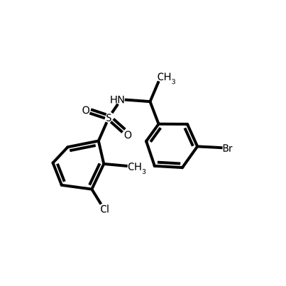 Cc1c(Cl)cccc1S(=O)(=O)NC(C)c1cccc(Br)c1